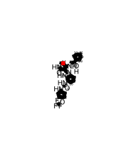 O=C(Nc1ccc(OC(F)(F)F)cc1)Nc1cccc2nc(-c3c(NCC(O)c4ccccc4)cc[nH]c3=O)[nH]c12